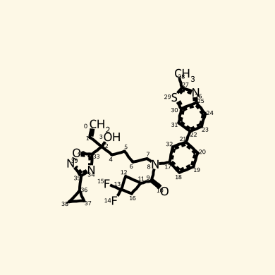 C=CC(O)(CCCCN(C(=O)C1CC(F)(F)C1)c1cccc(-c2ccc3nc(C)sc3c2)c1)c1nc(C2CC2)no1